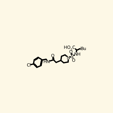 CCC(C)C(NS(=O)(=O)N1CCC(CC(=O)NCc2ccc(Cl)cc2)CC1)C(=O)O